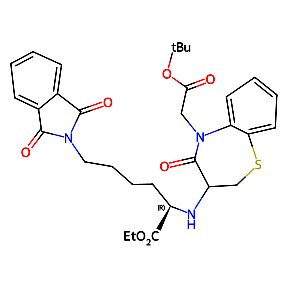 CCOC(=O)[C@@H](CCCCN1C(=O)c2ccccc2C1=O)NC1CSc2ccccc2N(CC(=O)OC(C)(C)C)C1=O